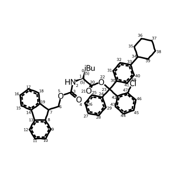 CC[C@H](C)[C@H](NC(=O)OCC1c2ccccc2-c2ccccc21)C(=O)OC(c1ccccc1)(c1ccc(C2CCCCC2)cc1)c1ccccc1Cl